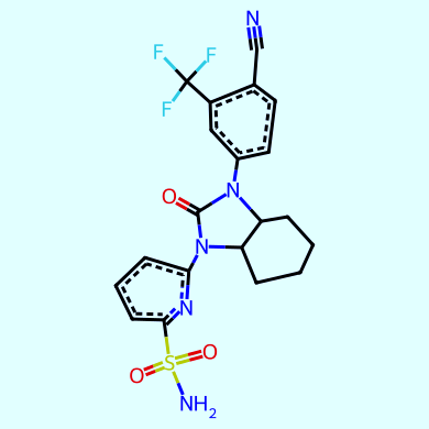 N#Cc1ccc(N2C(=O)N(c3cccc(S(N)(=O)=O)n3)C3CCCCC32)cc1C(F)(F)F